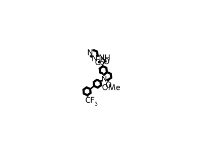 COc1cc(-c2cccc(C(F)(F)F)c2)ccc1-n1c(=O)ccc2cc(S(=O)(=O)Nc3ccncn3)ccc21